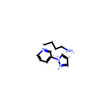 CCCCN.c1cncc(-n2cccn2)c1